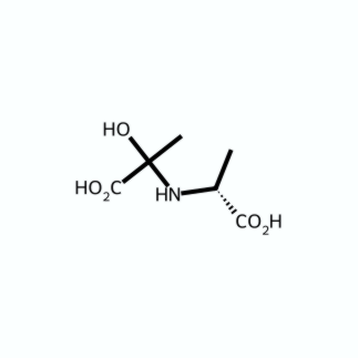 C[C@@H](NC(C)(O)C(=O)O)C(=O)O